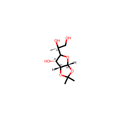 CC1(C)O[C@H]2OC([C@@](C)(O)CO)[C@@H](O)[C@H]2O1